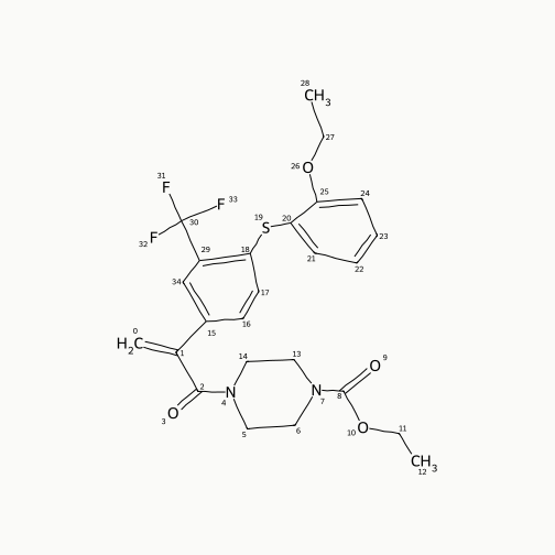 C=C(C(=O)N1CCN(C(=O)OCC)CC1)c1ccc(Sc2ccccc2OCC)c(C(F)(F)F)c1